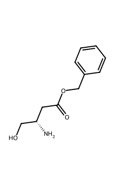 N[C@H](CO)CC(=O)OCc1ccccc1